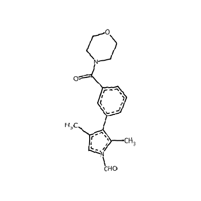 Cc1cn(C=O)c(C)c1-c1cccc(C(=O)N2CCOCC2)c1